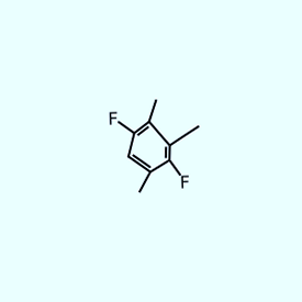 Cc1cc(F)c(C)c(C)c1F